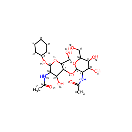 CC(=O)NC1C(OC2C(CO)OC(OC3CCCCC3)C(NC(C)=O)C2O)OC(CO)C(O)C1O